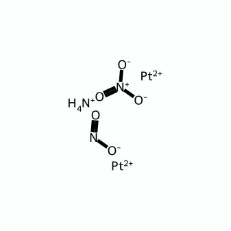 O=N[O-].O=[N+]([O-])[O-].[NH4+].[Pt+2].[Pt+2]